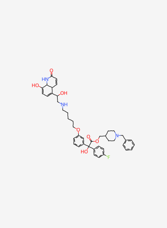 O=C1C=CC2C(C(O)CNCCCCCOc3cccc(C(O)(C(=O)OCC4CCN(Cc5ccccc5)CC4)c4ccc(F)cc4)c3)=CC=C(O)C2N1